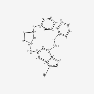 Brc1cnn2c(NCc3cccnc3)cc(N[C@@H]3CCN(Cc4ccccc4)C3)nc12